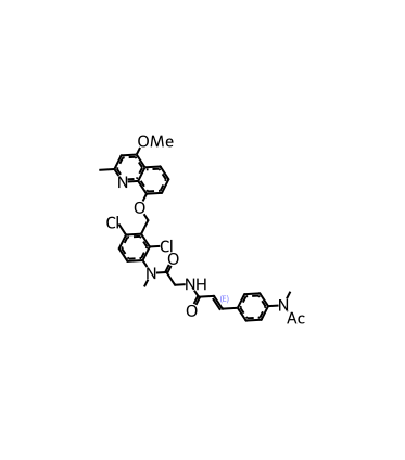 COc1cc(C)nc2c(OCc3c(Cl)ccc(N(C)C(=O)CNC(=O)/C=C/c4ccc(N(C)C(C)=O)cc4)c3Cl)cccc12